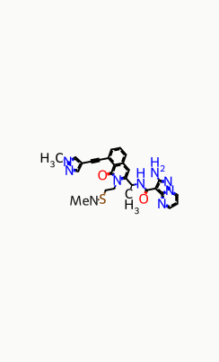 CNSCCn1c([C@H](C)NC(=O)c2c(N)nn3cccnc23)cc2cccc(C#Cc3cnn(C)c3)c2c1=O